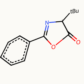 CC(C)(C)[C]1N=C(c2ccccc2)OC1=O